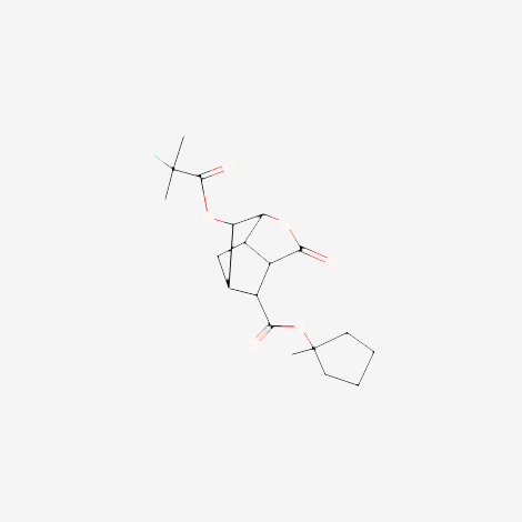 CCC1(OC(=O)C2C3CC4C(OC(=O)C42)C3OC(=O)C(C)(F)CC)CCCC1